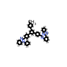 Cc1ccc(-c2cc(-c3ccc(-c4nc5ccccc5n4-c4ccccc4)cc3)cc(-c3ccc(-c4nc5ccccc5c5nc6ccccc6n45)cc3)c2)cc1